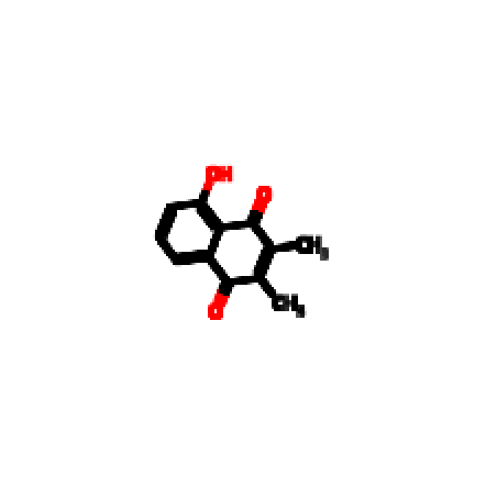 CC1=C(C)C(=O)c2c(O)cccc2C1=O